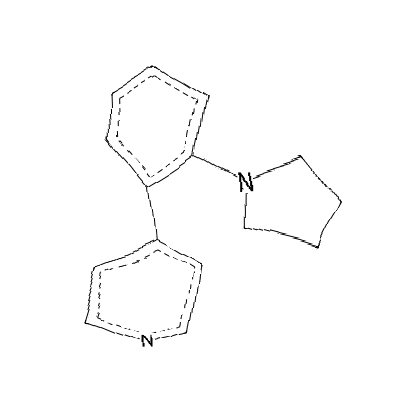 c1ccc(N2CCCC2)c(-c2ccncc2)c1